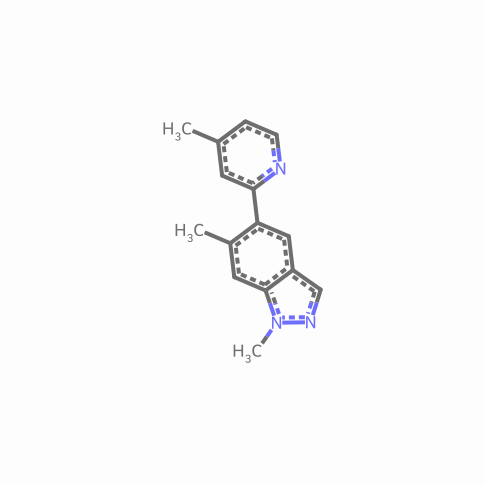 Cc1ccnc(-c2cc3cnn(C)c3cc2C)c1